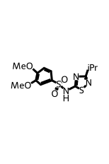 COc1ccc(S(=O)(=O)Nc2nc(C(C)C)ns2)cc1OC